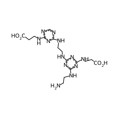 NCCNc1nc(NCCNc2ncnc(NCCC(=O)O)n2)nc(NCCC(=O)O)n1